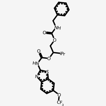 CC(C)C(COC(=O)NCc1ccccc1)OC(=O)Nc1nc2ccc(OC(F)(F)F)cc2s1